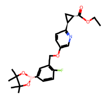 CCOC(=O)[C@H]1C[C@@H]1c1ccc(OCc2cc(B3OC(C)(C)C(C)(C)O3)ccc2F)cn1